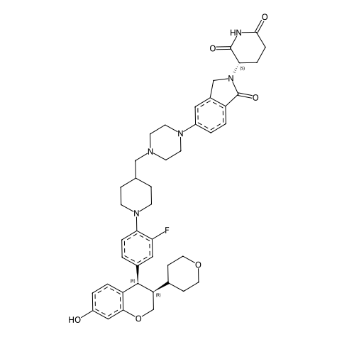 O=C1CC[C@H](N2Cc3cc(N4CCN(CC5CCN(c6ccc([C@@H]7c8ccc(O)cc8OC[C@@H]7C7CCOCC7)cc6F)CC5)CC4)ccc3C2=O)C(=O)N1